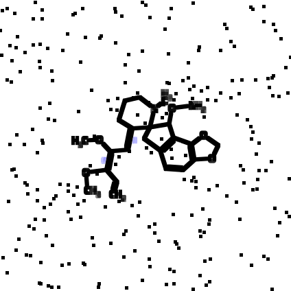 C=C/C(OC)=C(\C=C1/CCCN(C)C12Cc1ccc3c(c1C2ON)OCO3)OC